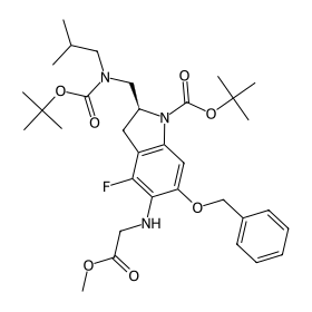 COC(=O)CNc1c(OCc2ccccc2)cc2c(c1F)C[C@@H](CN(CC(C)C)C(=O)OC(C)(C)C)N2C(=O)OC(C)(C)C